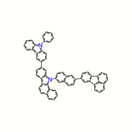 c1ccc(-n2c3ccccc3c3cc(-c4ccc5c6ccc7ccccc7c6n(-c6ccc7cc(-c8ccc9c(c8)-c8cccc%10cccc-9c8%10)ccc7c6)c5c4)ccc32)cc1